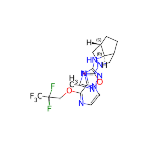 Cc1noc(N2CC3CC[C@@H](C2)[C@@H]3Nc2nc3c(OCC(F)(F)C(F)(F)F)nccn3n2)n1